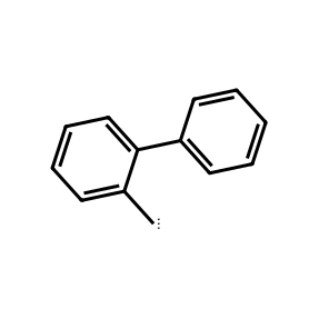 [C]c1ccccc1-c1ccccc1